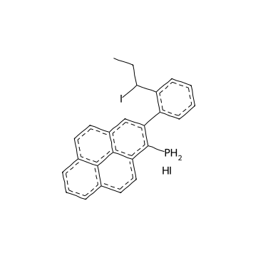 CCC(I)c1ccccc1-c1cc2ccc3cccc4ccc(c1P)c2c34.I